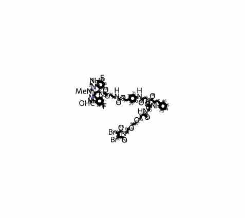 CN/C(=N\C=N)[C@H]1/C(=N/N)c2c(C=O)cc(F)cc2N(C(=O)OCCNC(=O)OCc2ccc(NC(=O)CNC(=O)C(Cc3ccccc3)NC(=O)CNC(=O)CCOCCOCCN3C(=O)C(Br)=C(Br)C3=O)cc2)[C@@H]1c1ccc(F)cc1